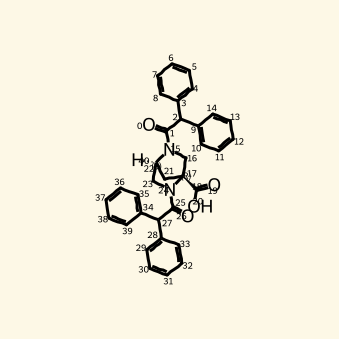 O=C(C(c1ccccc1)c1ccccc1)N1C[C@@]2(C(=O)O)C[C@H]1CN2C(=O)C(c1ccccc1)c1ccccc1